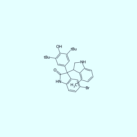 Cc1cccc2c1C(C1(c3cc(C(C)(C)C)c(O)c(C(C)(C)C)c3)C(=O)Nc3ccc(Br)cc31)CN2